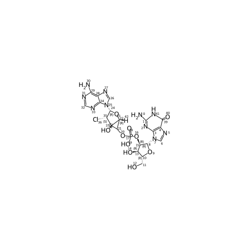 Nc1nc2c(ncn2[C@@H]2O[C@H](CO)[C@@H](O)[C@H]2OP(=O)(O)OC2[C@H]3O[C@@H](n4cnc5c(N)ncnc54)[C@@H](Cl)[C@@]23O)c(=O)[nH]1